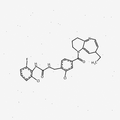 CCC1C=CN=C2CCCN(C(=O)c3ccc(CNC(=O)Nc4c(F)cccc4Cl)c(Cl)c3)C2=C1